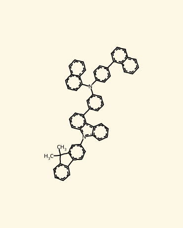 CC1(C)c2ccccc2-c2ccc(-n3c4ccccc4c4c(-c5cccc(N(c6ccc(-c7cccc8ccccc78)cc6)c6cccc7ccccc67)c5)cccc43)cc21